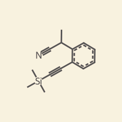 CC(C#N)c1ccccc1C#C[Si](C)(C)C